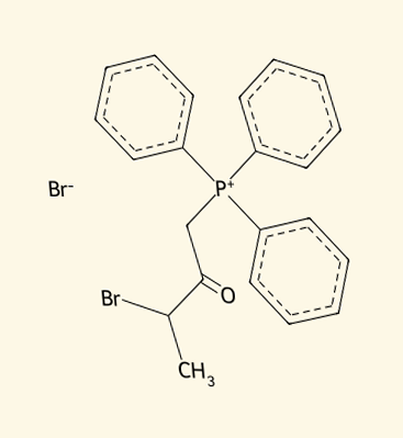 CC(Br)C(=O)C[P+](c1ccccc1)(c1ccccc1)c1ccccc1.[Br-]